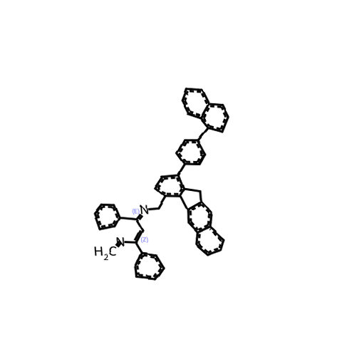 C=N/C(=C\C(=N/Cc1ccc(-c2ccc(-c3cccc4ccccc34)cc2)c2c1-c1cc3ccccc3cc1C2)c1ccccc1)c1ccccc1